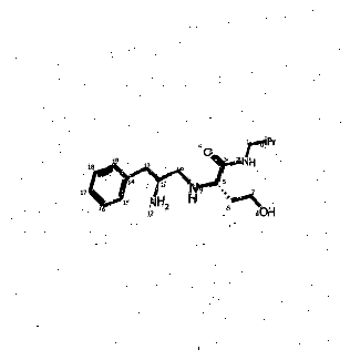 CC(C)CNC(=O)[C@H](CCO)NC[C@@H](N)Cc1ccccc1